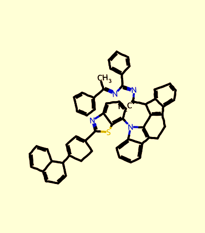 C=C(/N=C(\N=C(/C)c1ccccc1)c1ccccc1)C1C2=C(CCc3c2n(-c2cccc4nc(C5=CC=C(C6C=CC=C7C=CC=CC76)CC5)sc24)c2ccccc32)c2ccccc21